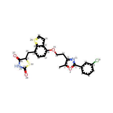 Cc1oc(-c2cccc(Cl)c2)nc1CCOc1ccc(CC2SC(=O)NC2=O)c2sccc12